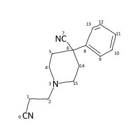 N#CCCN1CCC(C#N)(c2ccccc2)CC1